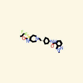 CC(Oc1nc2c(s1)CCN(CC[C@H]1CC[C@H](NC(=O)c3cccc4nn(C)cc34)CC1)CC2)C(F)F